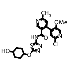 COc1cnc(Cl)cc1-c1cc(C)ncc1C(=O)Nc1nnc(OC2CCC(O)CC2)s1